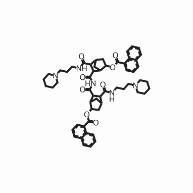 O=C(OC1CC2CC1C(C(=O)NC(=O)C1C3CC(CC3OC(=O)c3cccc4ccccc34)C1C(=O)NCCCN1CCCCC1)C2C(=O)NCCCN1CCCCC1)c1cccc2ccccc12